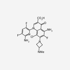 CNC1CN(c2c(F)c(N)c3c(=O)c(C(=O)O)cn(-c4nc(N)c(F)cc4F)c3c2Cl)C1